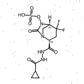 O=C(NNC(=O)[C@@H]1CC(F)(F)[C@@H]2CN1C(=O)N2OS(=O)(=O)O)C1CC1